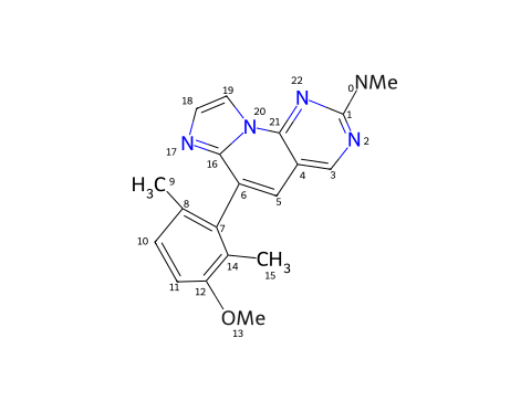 CNc1ncc2cc(-c3c(C)ccc(OC)c3C)c3nccn3c2n1